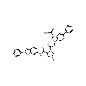 NC(=O)c1nn(CC(=O)N2CC(F)CC2C(=O)Nc2cnc3nc(-c4ccccc4)nn3c2)c2ccc(-c3ccnnc3)cc12